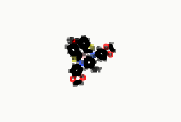 CC(C)c1cc2c3c(c1)N(c1ccc4c(c1)OCCO4)c1sc4ccc(C(C)(C)C)cc4c1B3c1c(sc3ccc(C(C)(C)C)cc13)N2c1ccc2c(c1)OCCO2